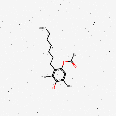 CCCCCCCCCCCCCCCCc1c(OC(=O)CC)cc(C(C)(C)C)c(O)c1C(C)(C)C